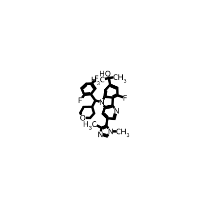 Cc1ncn(C)c1-c1cnc2c3c(F)cc(C(C)(C)O)cc3n(C(c3cc(F)ccc3F)C3CCOCC3)c2c1